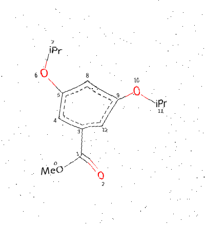 COC(=O)c1cc(OC(C)C)cc(OC(C)C)c1